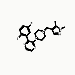 Cc1c(CN2CCN(c3nccnc3-c3cc(F)ccc3F)CC2)cnn1C